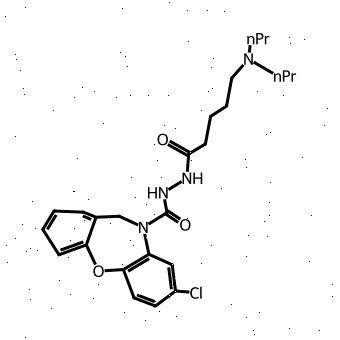 CCCN(CCC)CCCCC(=O)NNC(=O)N1Cc2ccccc2Oc2ccc(Cl)cc21